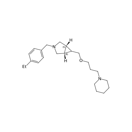 CCc1ccc(CN2C[C@@H]3C(COCCCN4CCCCC4)[C@@H]3C2)cc1